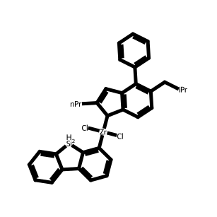 CCCC1=Cc2c(ccc(CC(C)C)c2-c2ccccc2)[CH]1[Zr]([Cl])([Cl])[c]1cccc2c1[SiH2]c1ccccc1-2